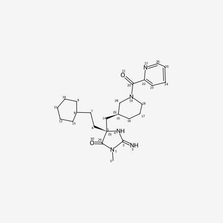 CN1C(=N)N[C@@](CCC2CCCCC2)(C[C@@H]2CCCN(C(=O)c3ccccn3)C2)C1=O